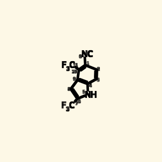 [C-]#[N+]c1ccc2[nH]c(C(F)(F)F)cc2c1C(F)(F)F